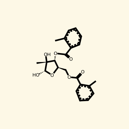 Cc1ccccc1C(=O)OC[C@H]1O[C@H](O)[C@](C)(O)[C@@H]1OC(=O)c1ccccc1C